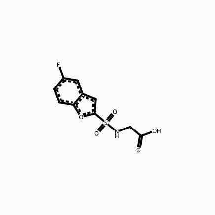 O=C(O)CNS(=O)(=O)c1cc2cc(F)ccc2o1